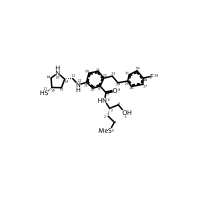 CSCC[C@@H](CO)NC(=O)c1cc(NC[C@@H]2C[C@H](S)CN2)ccc1CCc1ccc(F)cc1